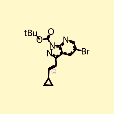 CC(C)(C)OC(=O)n1nc(/C=C/C2CC2)c2cc(Br)cnc21